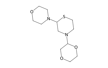 C1CN(C2CN(C3COCCO3)CCS2)CCO1